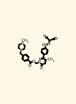 C[C@@H]1CC(=O)N(COC(=O)c2ccc(CN3CCN(C)CC3)cc2)N=C1c1ccc(NN=C(C#N)C#N)cc1